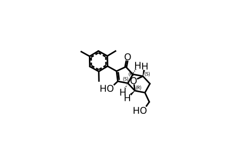 Cc1cc(C)c(C2=C(O)[C@H]3[C@@H](C2=O)[C@@H]2CC(CO)[C@H]3O2)c(C)c1